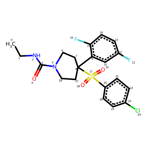 CCNC(=O)N1CCC(c2cc(F)ccc2F)(S(=O)(=O)c2ccc(Cl)cc2)CC1